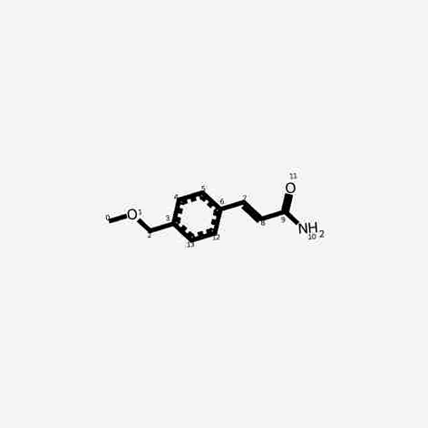 COCc1ccc(C=CC(N)=O)cc1